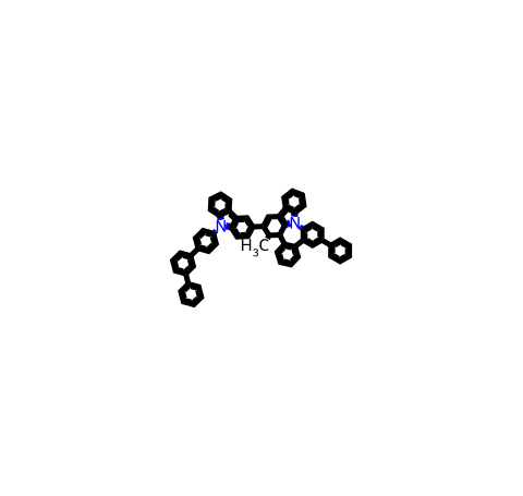 CC1C(c2ccc3c(c2)c2ccccc2n3-c2ccc(-c3cccc(-c4ccccc4)c3)cc2)=Cc2c3n(c4ccccc24)-c2ccc(-c4ccccc4)cc2-c2ccccc2C31